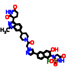 Cn1nc(C2CCC(=O)NC2=O)c2ccc(C3CCN(C(=O)Cn4cc(-c5ccc6c(F)c(N7CC(=O)NS7(=O)=O)c(O)cc6c5)cn4)CC3)cc21